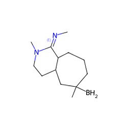 BC1(C)CCCC2/C(=N\C)N(C)CCC2C1